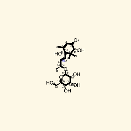 CC1=CC(=O)[C@H](O)C(C)(C)[C@@]1(O)/C=C/[C@H](C)O[C@@H]1O[C@H](CO)[C@@H](O)[C@H](O)[C@H]1O